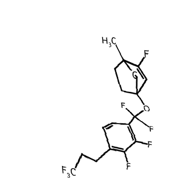 CC12CCC(OC(F)(F)c3ccc(CCC(F)(F)F)c(F)c3F)(C=C1F)CC2